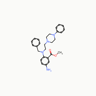 COC(=O)c1cc(N)ccc1N(CCN1CCN(c2ccccc2)CC1)Cc1ccccc1